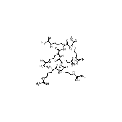 N=C(N)NCCC[C@H](NC(=O)[C@H](CCCNC(=N)N)NC(=O)[C@H](CCCNC(=N)N)NC(=O)[C@H](CCC(N)=O)NC(=O)[C@H](CCCNC(=N)N)NC(=O)[C@@H](N)CCCNC(=N)N)C(N)=O